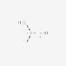 CPC.[NaH]